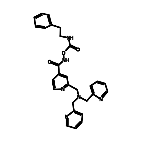 O=C(NCCc1ccccc1)ONC(=O)c1ccnc(CN(Cc2ccccn2)Cc2ccccn2)c1